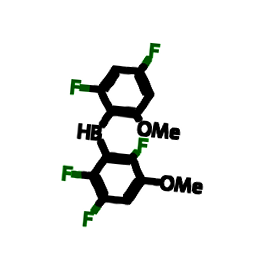 COc1cc(F)c(F)c(Bc2c(F)cc(F)cc2OC)c1F